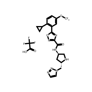 O=C(N[C@H]1CN[C@H](Cn2ccnn2)C1)c1noc(-c2cc(OC(F)(F)F)ccc2C2CC2)n1.O=C(O)C(F)(F)F